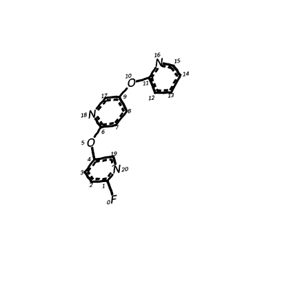 Fc1ccc(Oc2ccc(Oc3cc[c]cn3)cn2)cn1